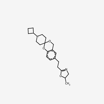 CC1CN=C(CCc2ccc3c(c2)COC2(CCN(C4CCC4)CC2)O3)O1